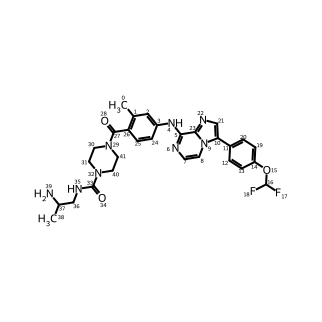 Cc1cc(Nc2nccn3c(-c4ccc(OC(F)F)cc4)cnc23)ccc1C(=O)N1CCN(C(=O)NCC(C)N)CC1